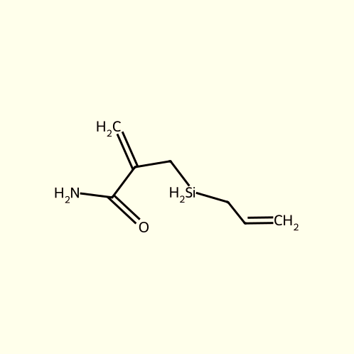 C=CC[SiH2]CC(=C)C(N)=O